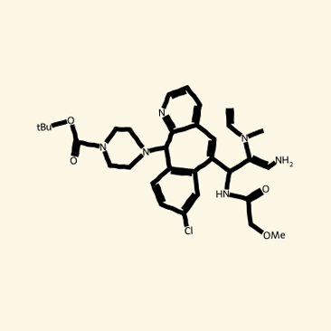 C=CN(C)/C(=C\N)C(NC(=O)COC)C1=Cc2cccnc2C(N2CCN(C(=O)OC(C)(C)C)CC2)c2ccc(Cl)cc21